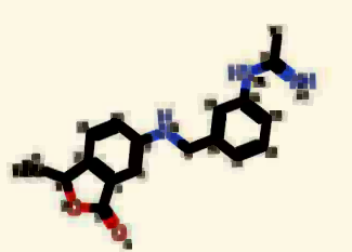 CCCCC1OC(=O)c2cc(NCc3cccc(NC(C)=N)c3)ccc21